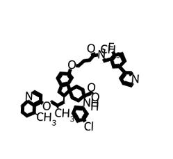 C[C@@H](COc1ccnc2c1[C@H](C)CCC2)C[C@H]1Cc2ccc(OCCCC(=O)N(C)Cc3cc(-c4cccnc4)ccc3F)cc2C12CCC(Nc1cccc(Cl)c1)(C(=O)O)CC2